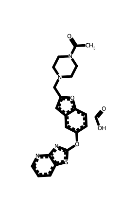 CC(=O)N1CCN(Cc2cc3cc(Oc4nc5ncccc5s4)ccc3o2)CC1.O=CO